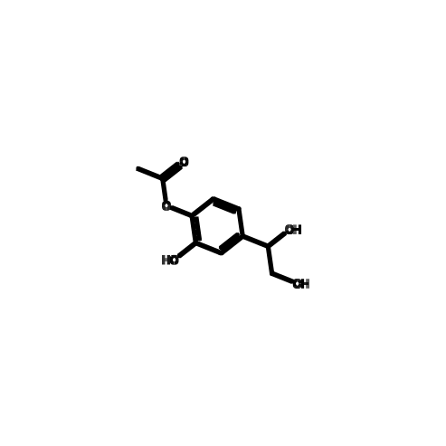 CC(=O)Oc1ccc(C(O)CO)cc1O